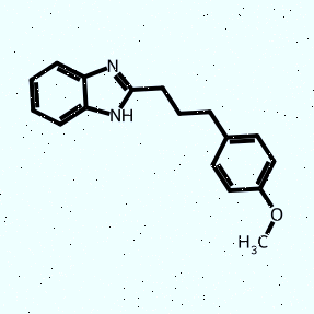 COc1ccc(CCCc2nc3ccccc3[nH]2)cc1